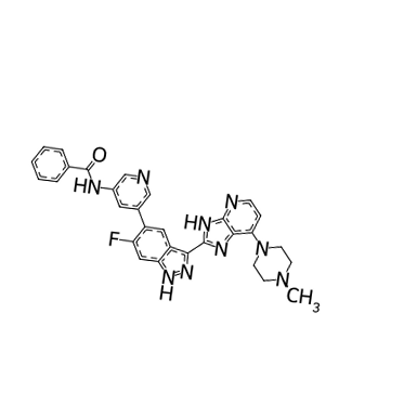 CN1CCN(c2ccnc3[nH]c(-c4n[nH]c5cc(F)c(-c6cncc(NC(=O)c7ccccc7)c6)cc45)nc23)CC1